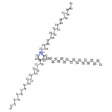 CCCCCCCCCCCCCCCCCCCc1cc[n+](CCCCCCCCCCCCCCCCCCC)cc1CCCCCCCCCCCCCCCCCCC